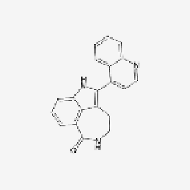 O=C1NCCc2c(-c3ccnc4ccccc34)[nH]c3cccc1c23